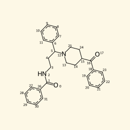 O=C(NCCC(c1ccccc1)N1CCC(C(=O)c2ccccc2)CC1)c1ccccc1